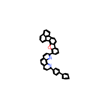 c1ccc(-c2ccc(-c3ccc4ccc5ccc(-c6cccc7c6oc6c8c(ccc67)-c6cccc7cccc-8c67)nc5c4n3)cc2)cc1